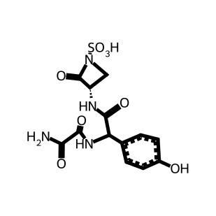 NC(=O)C(=O)NC(C(=O)N[C@H]1CN(S(=O)(=O)O)C1=O)c1ccc(O)cc1